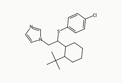 CC(C)(C)C1CCCCC1C(Cn1ccnc1)Sc1ccc(Cl)cc1